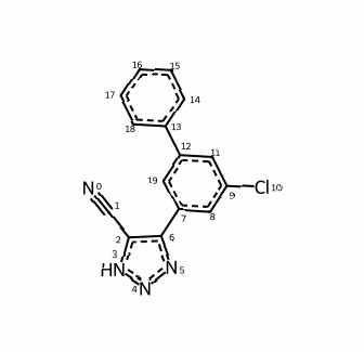 N#Cc1[nH]nnc1-c1cc(Cl)cc(-c2ccccc2)c1